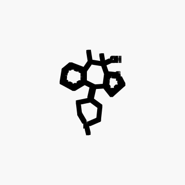 CC1c2ccccc2C(=C2CCN(C)CC2)c2ccsc2C1(C)O